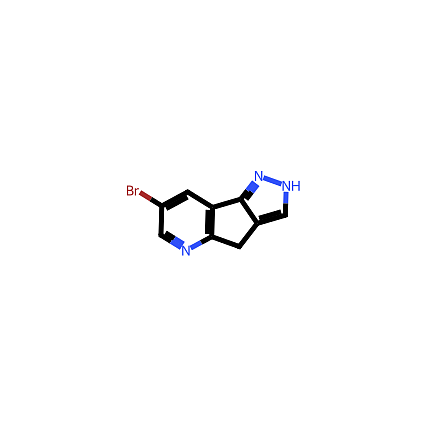 Brc1cnc2c(c1)-c1n[nH]cc1C2